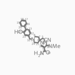 CNc1nn(C2(CC#N)CCN(Cc3ccc(-c4ccccc4)c(O)c3)CC2)cc1C(N)=O